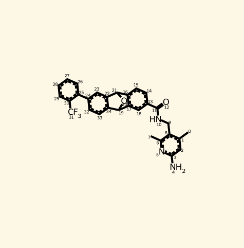 Cc1cc(N)nc(C)c1CNC(=O)c1ccc2c(c1)C1OC2c2cc(-c3ccccc3C(F)(F)F)ccc21